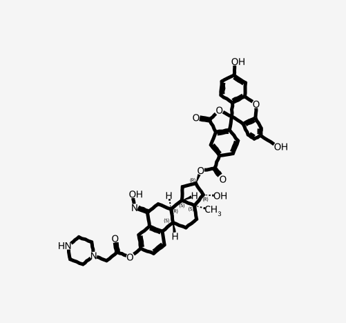 C[C@]12CC[C@@H]3c4ccc(OC(=O)CN5CCNCC5)cc4C(=NO)C[C@H]3[C@@H]1C[C@@H](OC(=O)c1ccc3c(c1)C(=O)OC31c3ccc(O)cc3Oc3cc(O)ccc31)[C@@H]2O